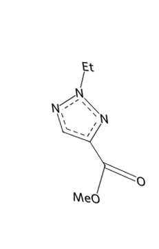 CCn1ncc(C(=O)OC)n1